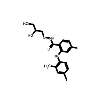 Cc1cc(I)ccc1Nc1cc(F)ccc1C(=O)NOCC(O)CO